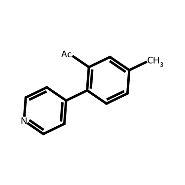 CC(=O)c1cc(C)ccc1-c1ccncc1